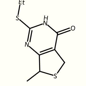 CCSc1nc2c(c(=O)[nH]1)CSC2C